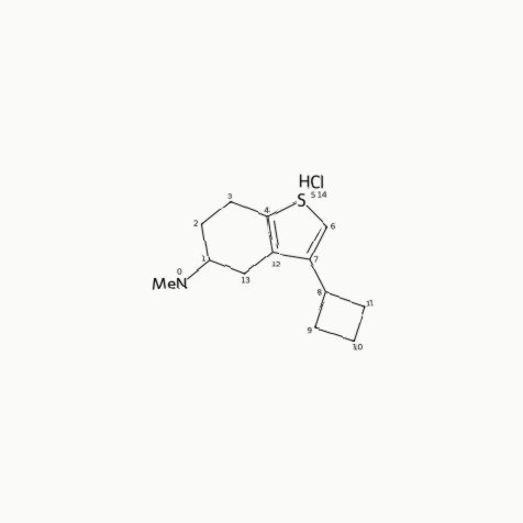 CNC1CCc2scc(C3CCC3)c2C1.Cl